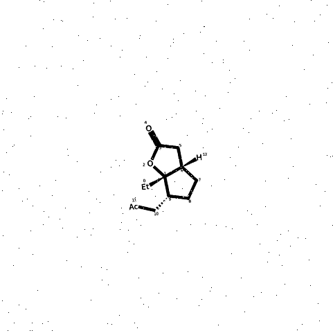 CC[C@@]12OC(=O)C[C@@H]1CC[C@@H]2CC(C)=O